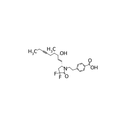 CCC#CC[C@H](C)[C@H](O)C=C[C@H]1CC(F)(F)C(=O)N1CCc1ccc(C(=O)O)cc1